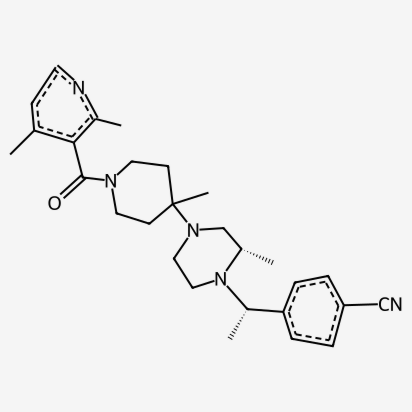 Cc1ccnc(C)c1C(=O)N1CCC(C)(N2CCN([C@@H](C)c3ccc(C#N)cc3)[C@@H](C)C2)CC1